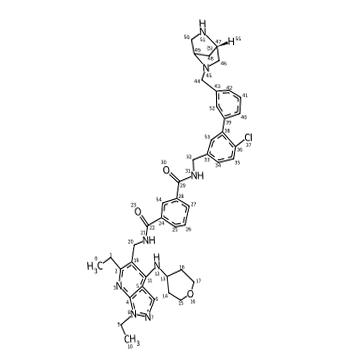 CCc1nc2c(cnn2CC)c(NC2CCOCC2)c1CNC(=O)c1cccc(C(=O)NCc2ccc(Cl)c(-c3cccc(CN4C[C@@H]5CC4CN5)c3)c2)c1